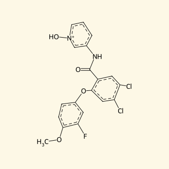 COc1ccc(Oc2cc(Cl)c(Cl)cc2C(=O)Nc2ccc[n+](O)c2)cc1F